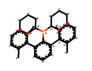 Cc1cccc(C)c1-c1cccc(-c2c(C)cccc2C)c1P(C1CCCCC1)C1CCCCC1